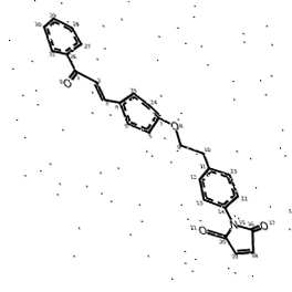 O=C(/C=C/c1ccc(OCCc2ccc(N3C(=O)C=CC3=O)cc2)cc1)c1ccccc1